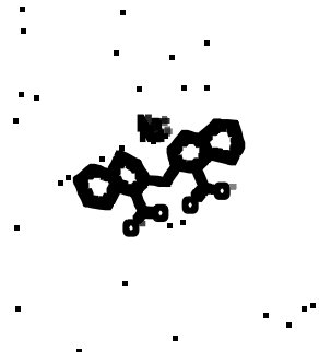 O=C([O-])c1c(Cc2ccc3ccccc3c2C(=O)[O-])ccc2ccccc12.[Na+].[Na+]